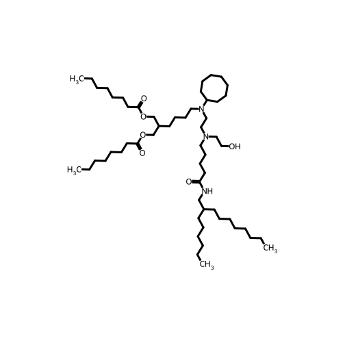 CCCCCCCCC(CCCCCC)CNC(=O)CCCCN(CCO)CCN(CCCCC(COC(=O)CCCCCCC)COC(=O)CCCCCCC)C1CCCCCCC1